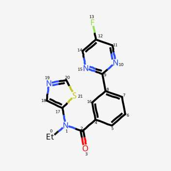 CCN(C(=O)c1cccc(-c2ncc(F)cn2)c1)c1cncs1